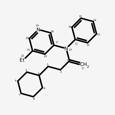 C=C(CCC1CCCCC1)N(c1ccccc1)c1cncc(CC)c1